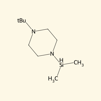 C[SiH](C)N1CCN(C(C)(C)C)CC1